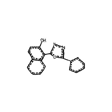 Oc1ccc2ccccc2c1-c1nnc(-c2ccccc2)o1